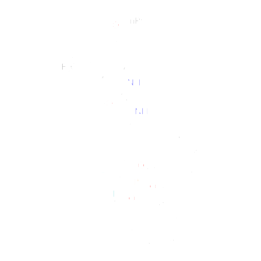 CCCOc1cc(NC(=O)Nc2ccc(C(F)(F)P(=O)(Oc3ccccc3)Oc3ccccc3)cc2)cc(C(F)(F)F)c1